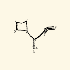 [C]#CC(CC)C1CCC1